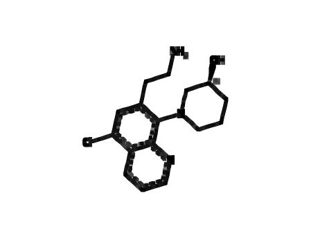 NCCc1cc(Cl)c2cccnc2c1N1CCC[C@H](O)C1